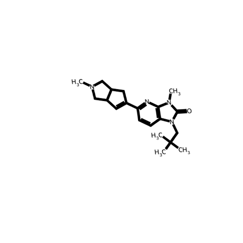 CN1CC2C=C(c3ccc4c(n3)n(C)c(=O)n4CC(C)(C)C)CC2C1